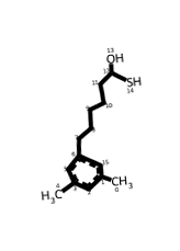 Cc1cc(C)cc(CCCCCC(O)S)c1